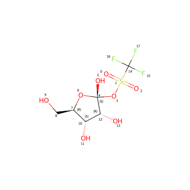 O=S(=O)(O[C@@]1(O)O[C@H](CO)[C@@H](O)[C@H]1O)C(F)(F)F